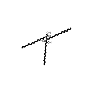 CCCCCCCCCCCCCCC(O)CN(CCO)N(CC(O)CCCCCCCCCCCCCC)CC(O)CCCCCCCCCCCCCC